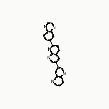 c1cnc2cc(-c3cnc4nc(-c5ccc6nccnc6c5)ccc4c3)cnc2c1